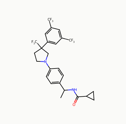 CC(NC(=O)C1CC1)c1ccc(N2CCC(c3cc(C(F)(F)F)cc(C(F)(F)F)c3)(C(F)(F)F)C2)cc1